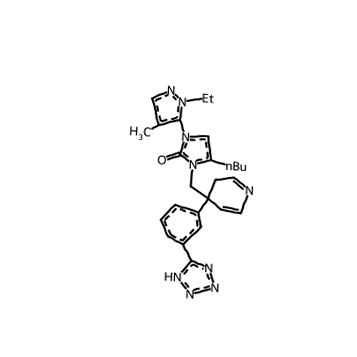 CCCCc1cn(-c2c(C)cnn2CC)c(=O)n1CC1(c2cccc(-c3nnn[nH]3)c2)C=CN=CC1